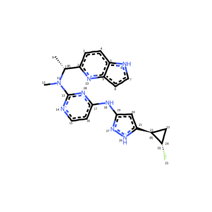 C[C@H](c1ccc2[nH]ccc2n1)N(C)c1nccc(Nc2cc([C@H]3C[C@@H]3F)[nH]n2)n1